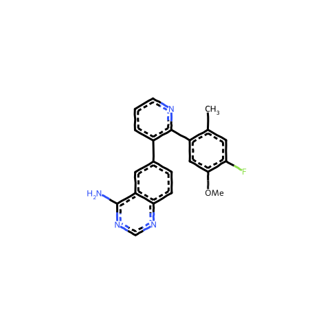 COc1cc(-c2ncccc2-c2ccc3ncnc(N)c3c2)c(C)cc1F